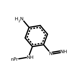 CCCNc1cc(N)ccc1N=N